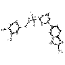 Nc1nc2ccc(-c3cncc(S(=O)(=O)NCc4ccc(Cl)c(Cl)c4)c3)cn2n1